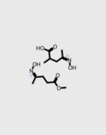 C/C(CC(C)C(=O)O)=N/O.COC(=O)CC/C(C)=N\O